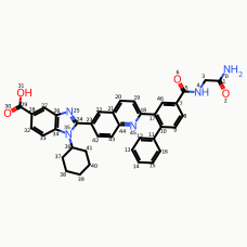 NC(=O)CNC(=O)c1ccc(-c2ccccc2)c(-c2ccc3cc(-c4nc5cc(C(=O)O)ccc5n4C4CCCCC4)ccc3n2)c1